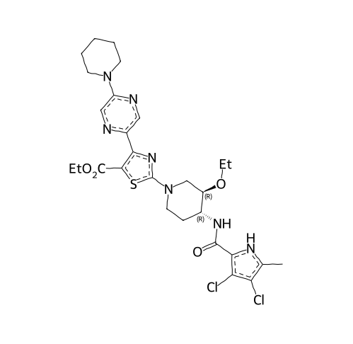 CCOC(=O)c1sc(N2CC[C@@H](NC(=O)c3[nH]c(C)c(Cl)c3Cl)[C@H](OCC)C2)nc1-c1cnc(N2CCCCC2)cn1